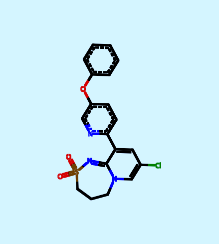 O=S1(=O)CCCN2C=C(Cl)C=C(c3ccc(Oc4ccccc4)cn3)C2=N1